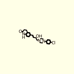 O=C1CCc2cc(C=C[C@@H](O)CN3CCN(c4ccc(Cl)cc4)CC3)ccc2N1